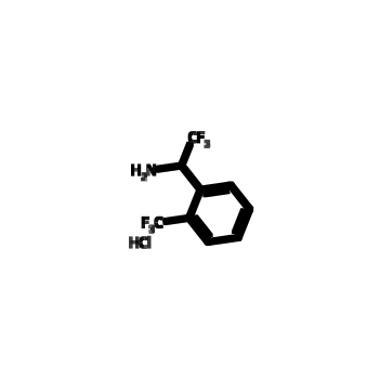 Cl.NC(c1ccccc1C(F)(F)F)C(F)(F)F